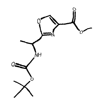 COC(=O)c1coc(C(C)NC(=O)OC(C)(C)C)n1